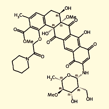 COC(=O)c1c(C)cc2c(c1OCC(=O)N1CCCCC1)[C@]1(O)C(=O)c3cc4c(c(O)c3C(=O)[C@]1(OC)[C@H](O)C2)C(=O)C=C(N[C@H]1O[C@@H](C)[C@H](OC)[C@@H](O)[C@H]1CO)C4=O